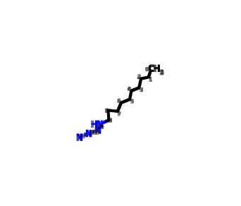 CCCCCCCCCCNN=[N+]=[N-]